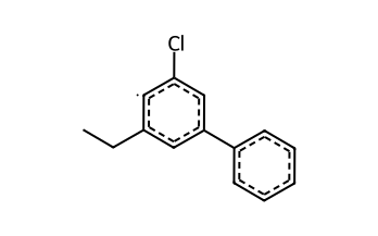 CCc1[c]c(Cl)cc(-c2ccccc2)c1